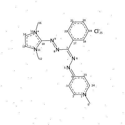 Cn1ccc(=NN=C(N=Nc2n(C)cc[n+]2C)c2ccccc2)cc1.[Cl-]